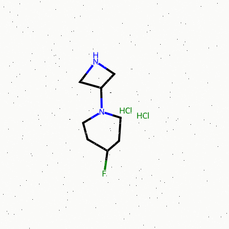 Cl.Cl.FC1CCN(C2CNC2)CC1